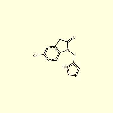 O=C1Cc2cc(Cl)ccc2N1Cc1cnc[nH]1